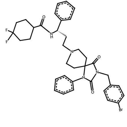 O=C(N[C@@H](CCN1CCC2(CC1)C(=O)N(Cc1ccc(Br)cc1)C(=O)N2c1ccccc1)c1ccccc1)C1CCC(F)(F)CC1